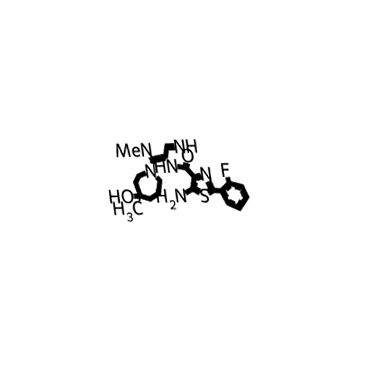 CN/C(=C(\C=N)NC(=O)c1nc(-c2ccccc2F)sc1N)N1CCC[C@@](C)(O)CC1